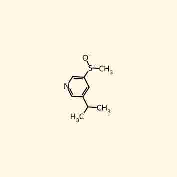 CC(C)c1cncc([S+](C)[O-])c1